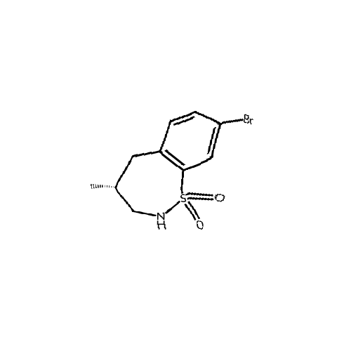 C[C@H]1CNS(=O)(=O)c2cc(Br)ccc2C1